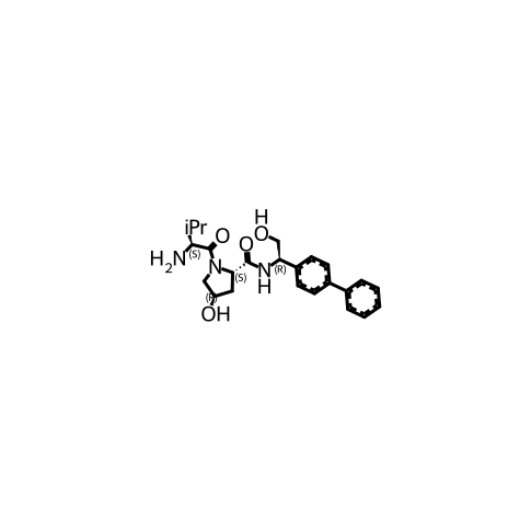 CC(C)[C@H](N)C(=O)N1C[C@H](O)C[C@H]1C(=O)N[C@@H](CO)c1ccc(-c2ccccc2)cc1